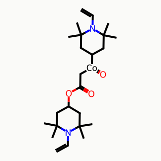 C=CN1C(C)(C)CC(OC(=O)[CH2][Co](=[O])[CH]2CC(C)(C)N(C=C)C(C)(C)C2)CC1(C)C